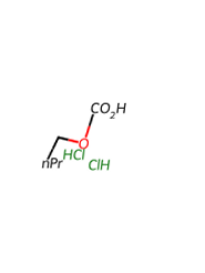 CCCCOC(=O)O.Cl.Cl